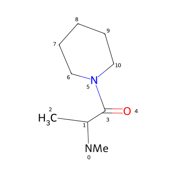 CNC(C)C(=O)N1CCCCC1